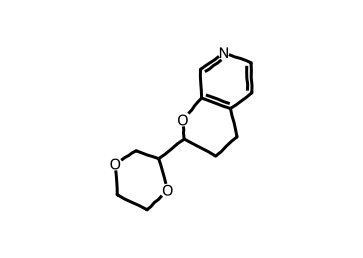 c1cc2c(cn1)OC(C1COCCO1)CC2